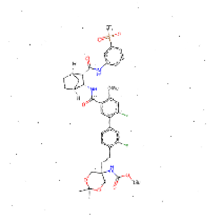 COc1cc(F)c(-c2ccc(CCC3(NC(=O)OC(C)(C)C)COC(C)(C)OC3)c(F)c2)cc1C(=O)N[C@@H]1[C@H]2CC[C@H](C2)[C@@H]1C(=O)Nc1cccc(S(=O)(=O)C(F)(F)F)c1